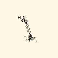 C=CC(=O)OCCCCCCCCCCCOC(F)(C(F)(F)F)C(F)(F)F